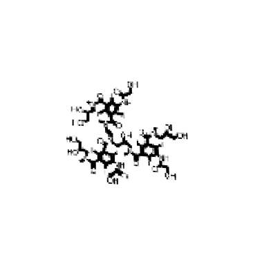 CN(CCN(CC(O)CN(C)C(=O)c1c(I)c(NC(=O)CO)c(I)c(C(=O)N(C)CC(O)CO)c1I)C(=O)c1c(I)c(NC(=O)CO)c(I)c(C(=O)N(C)CC(O)CO)c1I)C(=O)c1c(I)c(NC(=O)CO)c(I)c(C(=O)N(C)CC(O)CO)c1I